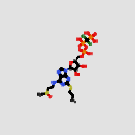 C[S+]([O-])CCNc1nc(SCCC(F)(F)F)nc2c1ncn2[C@@H]1O[C@H](COP(=O)(O)OP(=O)(O)C(Cl)(Cl)P(=O)(O)O)[C@@H](O)[C@H]1O